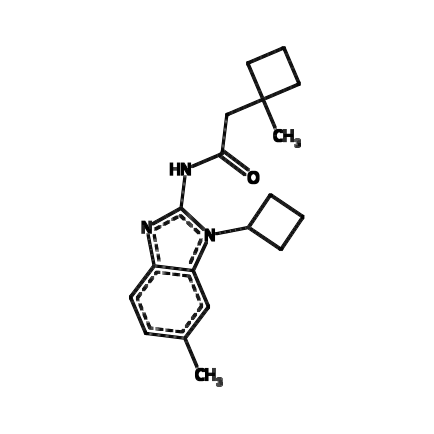 Cc1ccc2nc(NC(=O)CC3(C)CCC3)n(C3CCC3)c2c1